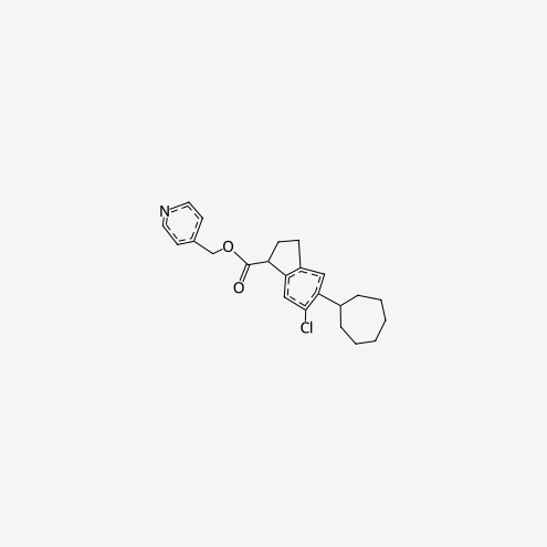 O=C(OCc1ccncc1)C1CCc2cc(C3CCCCCC3)c(Cl)cc21